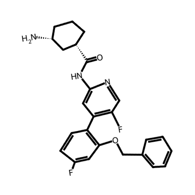 N[C@@H]1CCC[C@H](C(=O)Nc2cc(-c3ccc(F)cc3OCc3ccccc3)c(F)cn2)C1